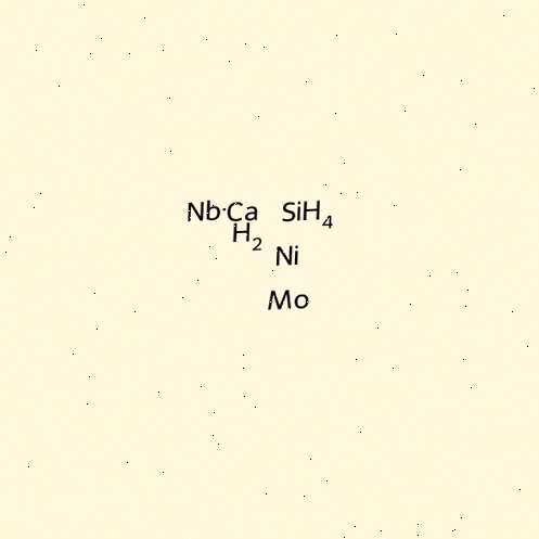 [CaH2].[Mo].[Nb].[Ni].[SiH4]